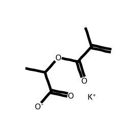 C=C(C)C(=O)OC(C)C(=O)[O-].[K+]